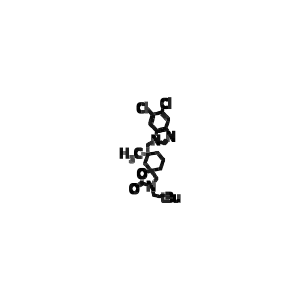 CC(C)(C)CN1CC2(CCCC(C)(Cn3cnc4cc(Cl)c(Cl)cc43)C2)OC1=O